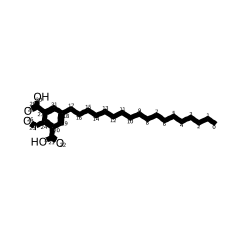 CCCCCCCCCCCCCCCCCCc1cc(C(=O)O)c(I=O)c(C(=O)O)c1